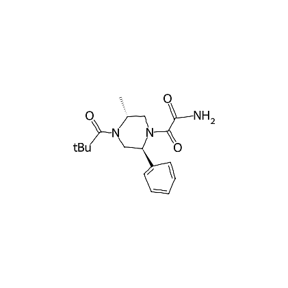 C[C@@H]1CN(C(=O)C(N)=O)[C@@H](c2ccccc2)CN1C(=O)C(C)(C)C